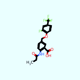 CCC(=O)Nc1ccc(COc2ccc(C(F)(F)F)cc2F)cc1C(=O)O